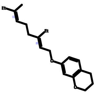 CC/C(C)=C/CC/C(=C/COc1ccc2c(c1)OCCC2)CC